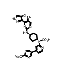 COc1ncc(-c2ccnc(N(C(=O)O)[C@H]3CC[C@H](Nc4ncc(C#N)c(-c5n[nH]cc5Cl)n4)CC3)c2)cn1